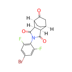 O=C1C[C@@H]2CC[C@H]1[C@@H]1C(=O)N(c3c(F)cc(Br)cc3F)C(=O)[C@H]21